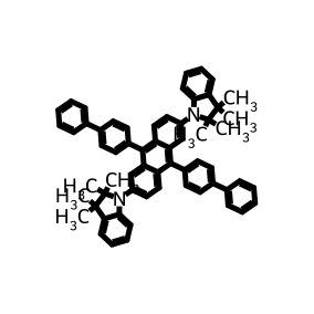 CC1(C)c2ccccc2N(c2ccc3c(-c4ccc(-c5ccccc5)cc4)c4cc(N5c6ccccc6C(C)(C)C5(C)C)ccc4c(-c4ccc(-c5ccccc5)cc4)c3c2)C1(C)C